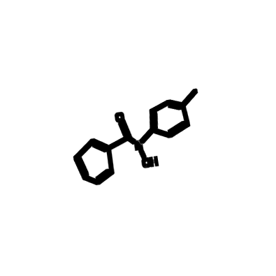 Cc1ccc(N(O)C(=O)c2ccccc2)cc1